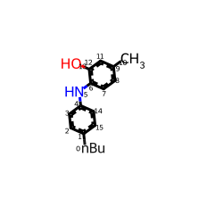 CCCCc1ccc(Nc2ccc(C)cc2O)cc1